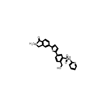 CN1Cc2cc(-c3ccc(-c4ccc(CO)c(S(=O)(=O)Nc5ccccn5)c4)s3)ccc2C1=O